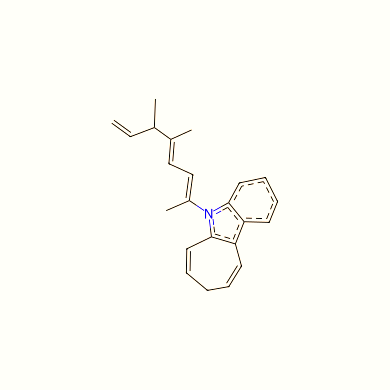 C=CC(C)/C(C)=C/C=C(\C)n1c2c(c3ccccc31)C=CCC=C2